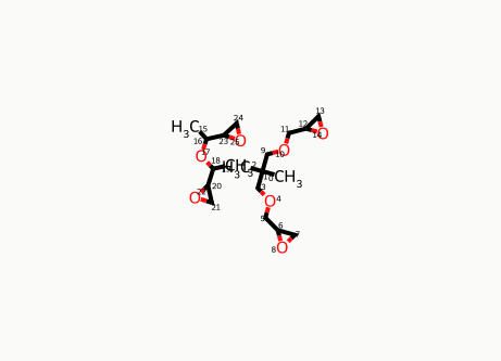 CC(C)(COCC1CO1)COCC1CO1.CC(OC(C)C1CO1)C1CO1